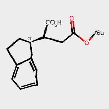 CC(C)(C)OC(=O)CC(C(=O)O)[C@@H]1CCc2ccccc21